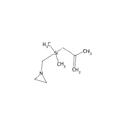 C=C(C)C[Si](C)(C)CN1CC1